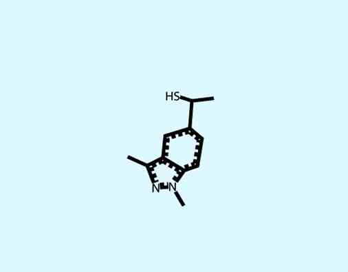 Cc1nn(C)c2ccc(C(C)S)cc12